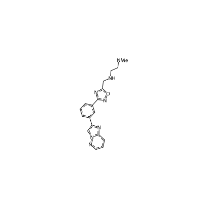 CNCCNCc1nc(-c2cccc(-c3cn4ncccc4n3)c2)no1